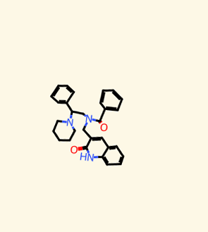 O=C(c1ccccc1)N(Cc1cc2ccccc2[nH]c1=O)CC(c1ccccc1)N1CCCCC1